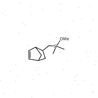 CO[Si](C)(C)CC1CC2C=CC1C2